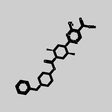 COC(=O)c1cnc(N2C[C@@H](C)N(C(=O)OC3CCN(Cc4ccccc4)CC3)C[C@@H]2C)nc1C(F)(F)F